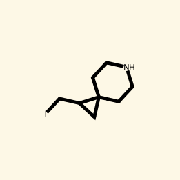 ICC1CC12CCNCC2